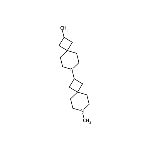 CC1CC2(CCN(C3CC4(CCN(C)CC4)C3)CC2)C1